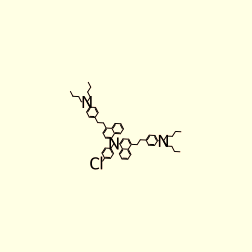 CCCCN(CCCC)c1ccc(CCc2ccc(N(c3ccc(Cl)cc3)c3ccc(CCc4ccc(N(CCCC)CCCC)cc4)c4ccccc34)c3ccccc23)cc1